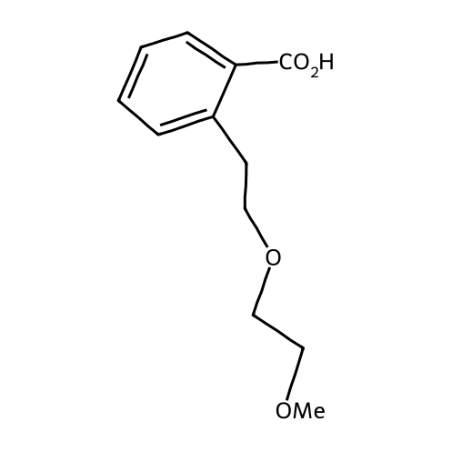 COCCOCCc1ccccc1C(=O)O